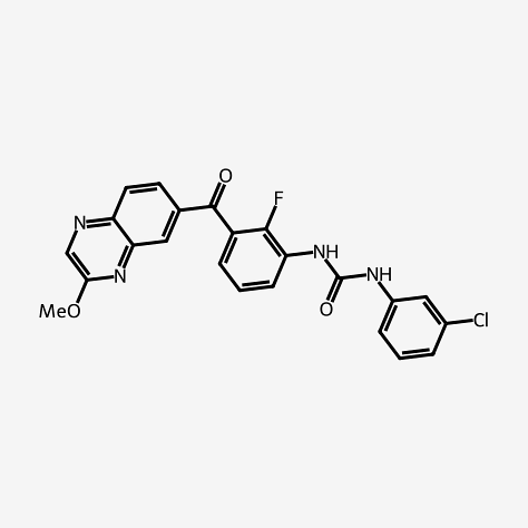 COc1cnc2ccc(C(=O)c3cccc(NC(=O)Nc4cccc(Cl)c4)c3F)cc2n1